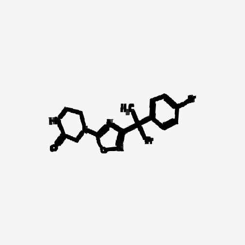 CC(C)C(C)(c1ccc(Br)cc1)c1noc(N2CCNC(=O)C2)n1